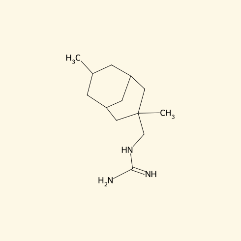 CC1CC2CC(C1)CC(C)(CNC(=N)N)C2